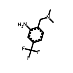 CN(C)Cc1ccc(C(F)(F)F)cc1N